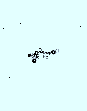 O=C(CCNCC(O)COc1ccc(Cl)cc1)N1CCc2nc(SC3CCC3)n(-c3ccccc3)c(=O)c2C1